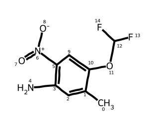 Cc1cc(N)c([N+](=O)[O-])cc1OC(F)F